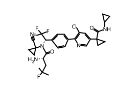 CC(C)(F)C[C@H](N)C(=O)N([C@@H](c1ccc(-c2ncc(C3(C(=O)NC4CC4)CC3)cc2Cl)cc1)C(F)(F)F)C1(C#N)CC1